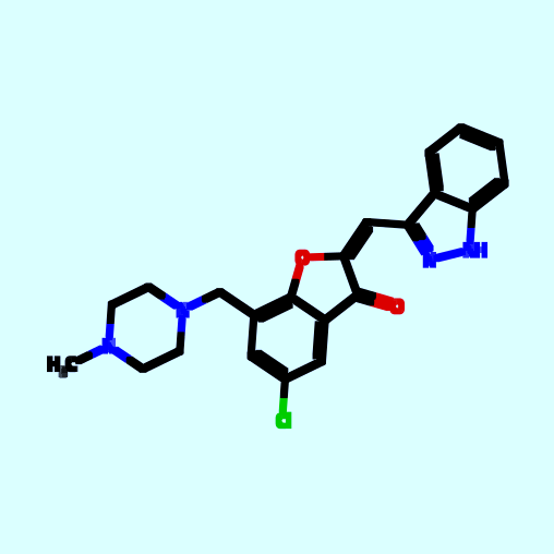 CN1CCN(Cc2cc(Cl)cc3c2OC(=Cc2n[nH]c4ccccc24)C3=O)CC1